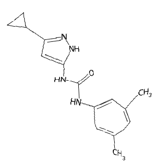 Cc1cc(C)cc(NC(=O)Nc2cc(C3CC3)n[nH]2)c1